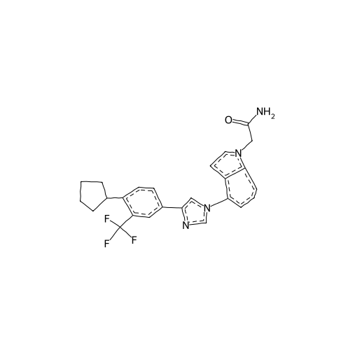 NC(=O)Cn1ccc2c(-n3cnc(-c4ccc(C5CCCC5)c(C(F)(F)F)c4)c3)cccc21